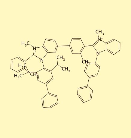 Cc1cc(-c2ccc3c(c2)n(-c2c(C(C)C)cc(-c4ccccc4)cc2C(C)C)c(-c2ccccc2C)[n+]3C)ccc1-c1n(-c2ccc(-c3ccccc3)cc2)c2ccccc2[n+]1C